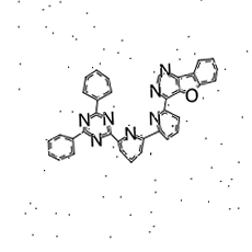 c1ccc(-c2nc(-c3ccccc3)nc(-c3cccc(-c4cccc(-c5ncnc6c5oc5ccccc56)n4)n3)n2)cc1